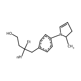 CCCC(CC)(CCO)Cc1ccc(N2C=CCC2C)cc1